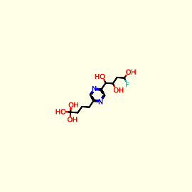 OC(F)CC(O)C(O)c1cnc(CCCC(O)(O)O)cn1